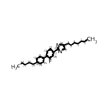 CCCCCCCc1cnc(-c2ccc(-c3ccc(CCCCC)cc3)c(F)c2)nc1